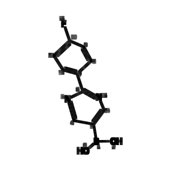 OB(O)c1cnc(-c2ccc(F)cc2)nc1